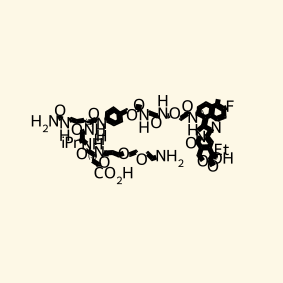 CC[C@@]1(O)C(=O)OCc2c1cc1n(c2=O)Cc2c-1nc1cc(F)c(C)c3c1c2[C@@H](NC(=O)COCNC(=O)CNC(=O)OCc1ccc(NC(=O)[C@H](CCCNC(N)=O)NC(=O)C(NC(=O)[C@H](CCC(=O)O)NC(=O)CCOCCOCCN)C(C)C)cc1)CC3